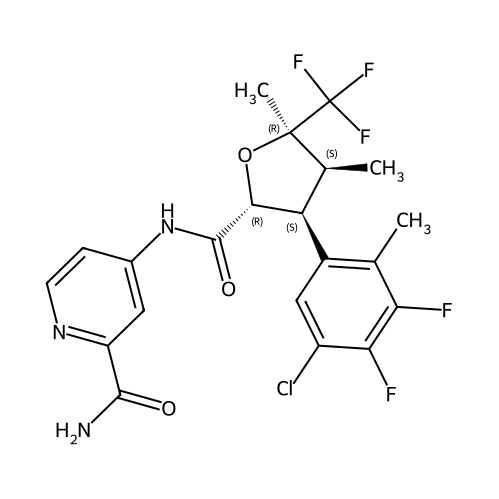 Cc1c([C@H]2[C@H](C(=O)Nc3ccnc(C(N)=O)c3)O[C@@](C)(C(F)(F)F)[C@H]2C)cc(Cl)c(F)c1F